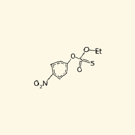 CCOS(=O)(=S)Oc1ccc([N+](=O)[O-])cc1